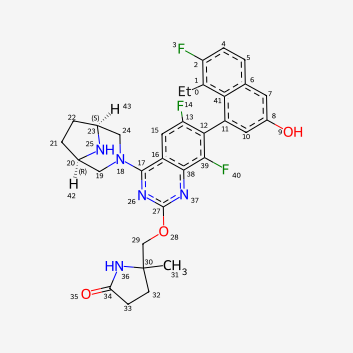 CCc1c(F)ccc2cc(O)cc(-c3c(F)cc4c(N5C[C@H]6CC[C@@H](C5)N6)nc(OCC5(C)CCC(=O)N5)nc4c3F)c12